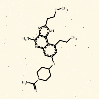 CCCc1cc(OC2CCN(C(N)=O)CC2)cc2nc(N)c3nc(CCOC)[nH]c3c12